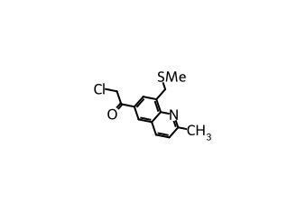 CSCc1cc(C(=O)CCl)cc2ccc(C)nc12